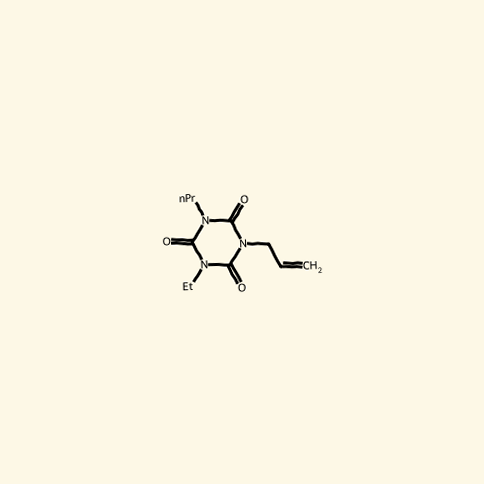 C=CCn1c(=O)n(CC)c(=O)n(CCC)c1=O